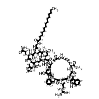 CCCCCCCCCCCCCCCC(=O)NCC(=O)N[C@@H](CCC(N)=O)C(=O)N[C@@H](CCC(N)=O)C(=O)N[C@@H](Cc1c[nH]cn1)C(=O)N[C@@H](CO)C(=O)N[C@@H](CCCC)C(=O)N[C@H]1CCC(=O)CNCCCC[C@@H](C(N)=O)NC(=O)[C@H](Cc2c[nH]c3ccccc23)NC(=O)[C@H](CCCNC(=N)N)NC(=O)[C@@H](Cc2ccccc2)NC(=O)[C@@H]2CC(O)CN2C1=O